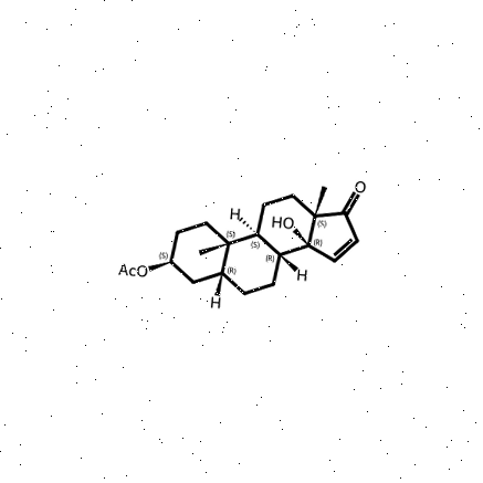 CC(=O)O[C@H]1CC[C@@]2(C)[C@H](CC[C@@H]3[C@@H]2CC[C@]2(C)C(=O)C=C[C@]32O)C1